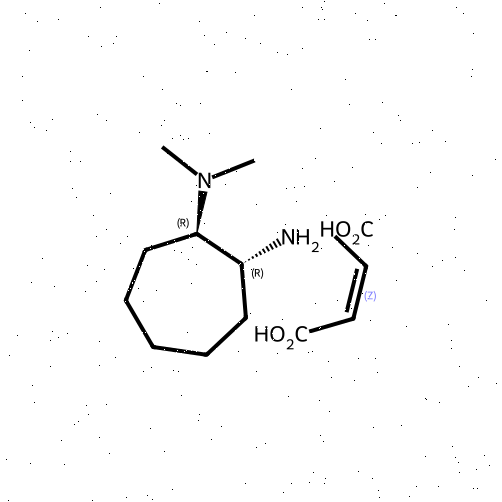 CN(C)[C@@H]1CCCCC[C@H]1N.O=C(O)/C=C\C(=O)O